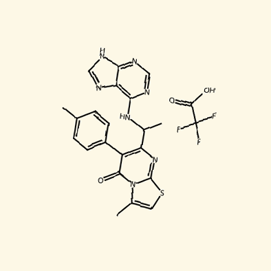 Cc1ccc(-c2c(C(C)Nc3ncnc4[nH]cnc34)nc3scc(C)n3c2=O)cc1.O=C(O)C(F)(F)F